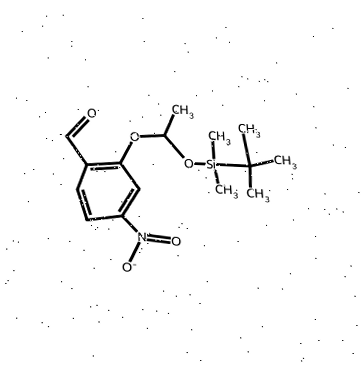 CC(Oc1cc([N+](=O)[O-])ccc1C=O)O[Si](C)(C)C(C)(C)C